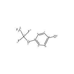 FC(F)(F)C(F)(F)Oc1ccc(Cl)cc1